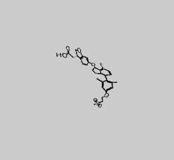 Cc1cc(OCCS(C)(=O)=O)cc(C)c1-c1ccc(F)c2c1CC[C@H]2Oc1ccc2c(c1)OC[C@H]2CC(=O)O